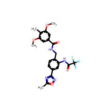 COc1cc(C(=O)NCc2ccc(-c3noc(C)n3)cc2NC(=O)C(F)(F)F)cc(OC)c1C